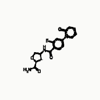 NC(=O)C1[CH]C(NC(=O)c2ccc(-n3ccccc3=O)cc2F)CO1